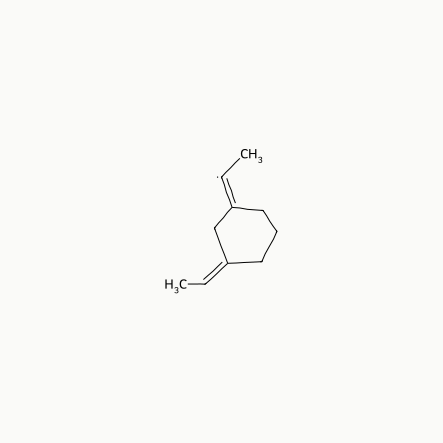 C[C]=C1CCCC(=CC)C1